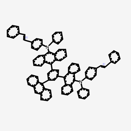 C(=C\c1ccc(N(c2ccccc2)c2c3ccccc3c(-c3cc(-c4c5ccccc5cc5ccccc45)cc(-c4c5ccccc5c(N(c5ccccc5)c5ccc(/C=C/c6ccccc6)cc5)c5ccccc45)c3)c3ccccc23)cc1)/c1ccccc1